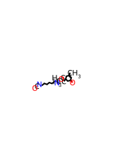 CC1=CC(=O)CC(C)(C)C1.O=C=NCCCCCCN=C=O